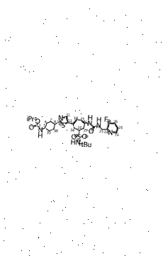 CC(C)OC(=O)NC1CCC(c2ncc(C3=CC=C(NC(=O)NCc4ncccc4F)CC(S(=O)(=O)NC(C)(C)C)C3)s2)CC1